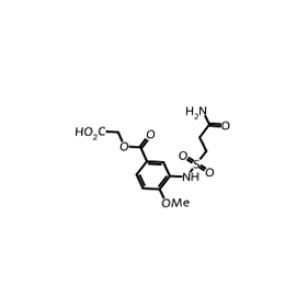 COc1ccc(C(=O)OCC(=O)O)cc1NS(=O)(=O)CCC(N)=O